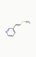 CS/C=C/c1cccnc1